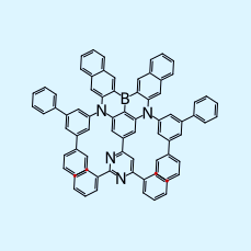 c1ccc(-c2cc(-c3ccccc3)cc(N3c4cc5ccccc5cc4B4c5cc6ccccc6cc5N(c5cc(-c6ccccc6)cc(-c6ccccc6)c5)c5cc(-c6cc(-c7ccccc7)nc(-c7ccccc7)n6)cc3c54)c2)cc1